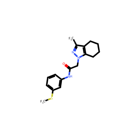 O=C(Cn1nc(C(F)(F)F)c2c1CCCC2)Nc1cccc(SC(F)(F)F)c1